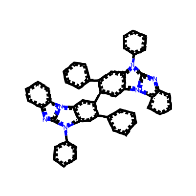 c1ccc(-c2cc3c(cc2-c2cc4c(cc2-c2ccccc2)n(-c2ccccc2)c2nc5ccccc5n42)n2c4ccccc4nc2n3-c2ccccc2)cc1